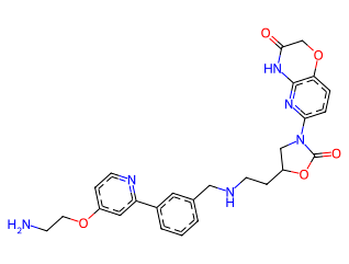 NCCOc1ccnc(-c2cccc(CNCCC3CN(c4ccc5c(n4)NC(=O)CO5)C(=O)O3)c2)c1